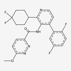 COc1ccc(C(=O)Nc2c(-c3cc(F)ccc3F)ccnc2C2CCC(F)(F)CC2)nn1